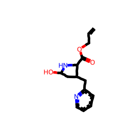 C=CCOC(=O)C1NC(O)CC1Cc1ccccn1